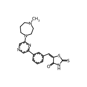 CN1CCCN(c2cncc(-c3cccc(C=C4SC(=S)NC4=O)c3)n2)CC1